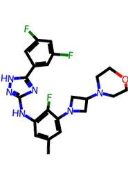 Cc1cc(Nc2n[nH]c(-c3cc(F)cc(F)c3)n2)c(F)c(N2CC(N3CCOCC3)C2)c1